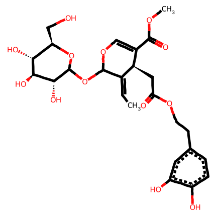 C/C=C1/C(OC2O[C@H](CO)[C@@H](O)[C@H](O)[C@H]2O)OC=C(C(=O)OC)[C@H]1CC(=O)OCCc1ccc(O)c(O)c1